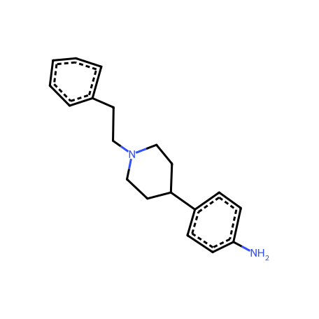 Nc1ccc(C2CCN(CCc3ccccc3)CC2)cc1